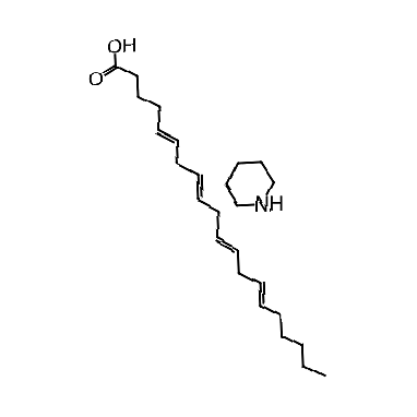 C1CCNCC1.CCCCCC=CCC=CCC=CCC=CCCCC(=O)O